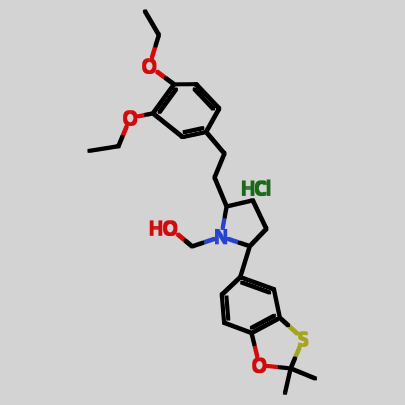 CCOc1ccc(CCC2CCC(c3ccc4c(c3)SC(C)(C)O4)N2CO)cc1OCC.Cl